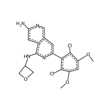 COc1cc(OC)c(Cl)c(-c2cc3cnc(N)cc3c(NC3COC3)n2)c1Cl